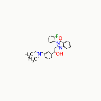 CCN(CC)Cc1cccc(C(O)Cc2nc3ccccc3c(=O)n2-c2ccccc2F)c1